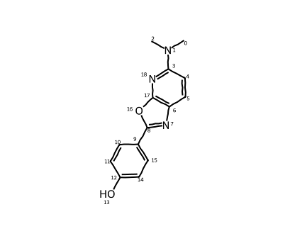 CN(C)c1ccc2nc(-c3ccc(O)cc3)oc2n1